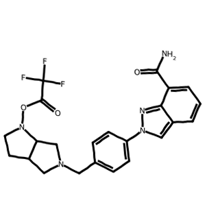 NC(=O)c1cccc2cn(-c3ccc(CN4CC5CCN(OC(=O)C(F)(F)F)C5C4)cc3)nc12